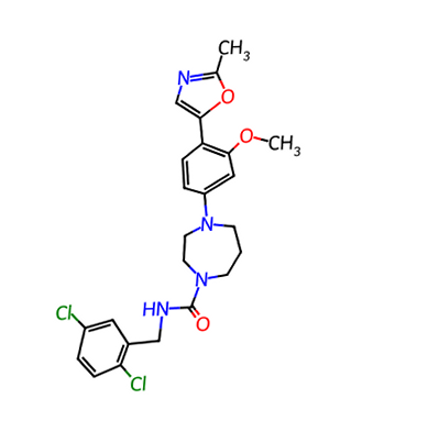 COc1cc(N2CCCN(C(=O)NCc3cc(Cl)ccc3Cl)CC2)ccc1-c1cnc(C)o1